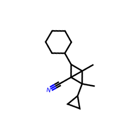 CC1(C2CC2)C2(C)C(C3CCCCC3)C12C#N